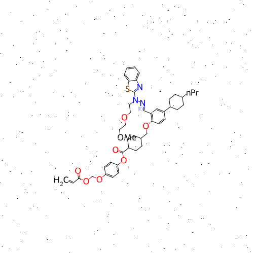 C=CC(=O)OCOc1ccc(OC(=O)C2CCC(COc3ccc(C4CCC(CCC)CC4)cc3/C=N/N(CCOCCOC)c3nc4ccccc4s3)CC2)cc1